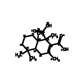 CC1=C(C(=O)O)C(C)(C(=O)O)C2(C)CCCC(C)(C)C2C1